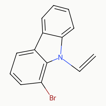 C=Cn1c2ccccc2c2cccc(Br)c21